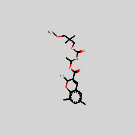 Cc1cc(C)c2c(c1)C=C(C(=O)OC(C)OC(=O)OCC(C)(C)CO[N+](=O)[O-])C(C(F)(F)F)O2